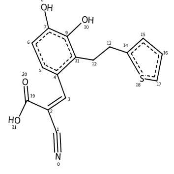 N#CC(=Cc1ccc(O)c(O)c1CCc1cccs1)C(=O)O